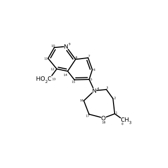 CC1CCN(c2ccc3nccc(C(=O)O)c3c2)CCO1